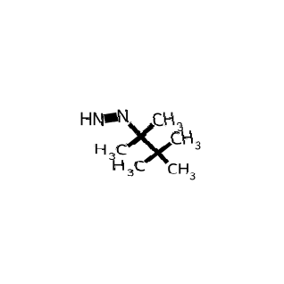 CC(C)(C)C(C)(C)N=N